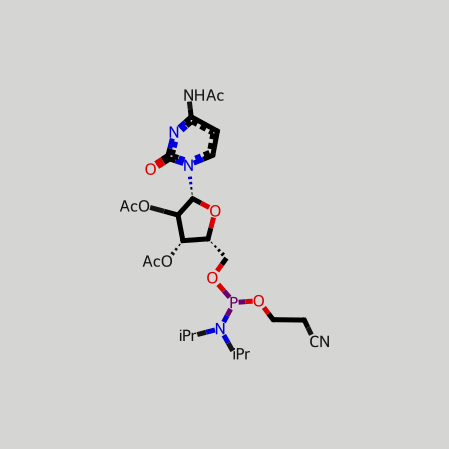 CC(=O)Nc1ccn([C@@H]2O[C@H](COP(OCCC#N)N(C(C)C)C(C)C)[C@H](OC(C)=O)C2OC(C)=O)c(=O)n1